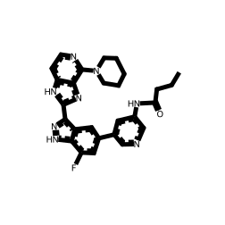 CCCC(=O)Nc1cncc(-c2cc(F)c3[nH]nc(-c4nc5c(N6CCCCC6)nccc5[nH]4)c3c2)c1